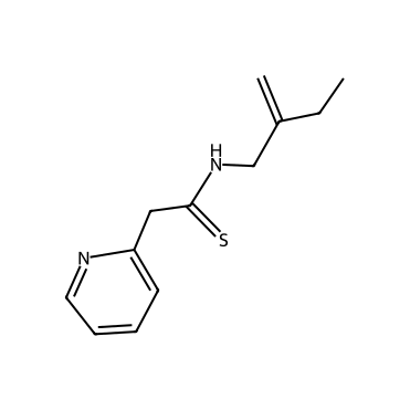 C=C(CC)CNC(=S)Cc1ccccn1